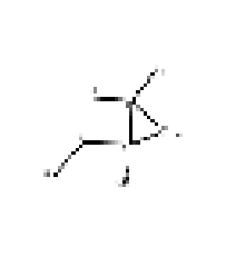 CC[C@]1(C)OC1(C)C